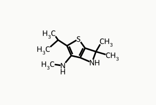 CNc1c(C(C)C)sc2c1NC2(C)C